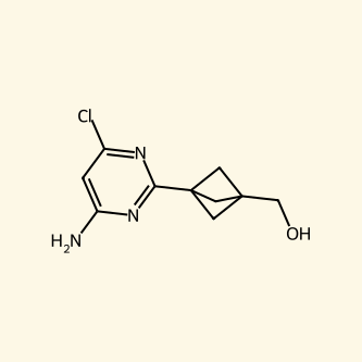 Nc1cc(Cl)nc(C23CC(CO)(C2)C3)n1